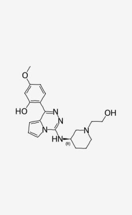 COc1ccc(-c2nnc(N[C@@H]3CCCN(CCO)C3)n3cccc23)c(O)c1